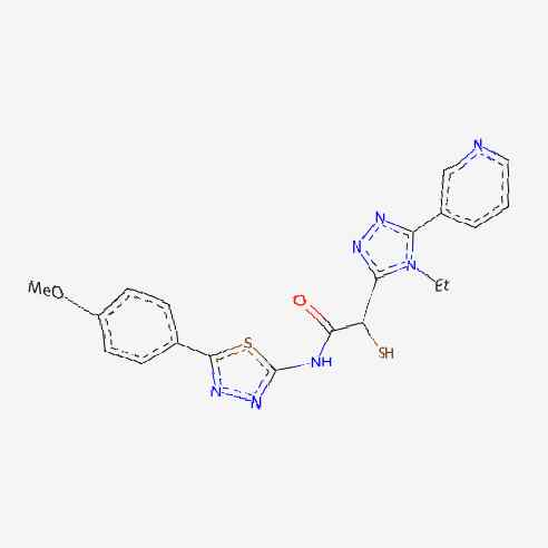 CCn1c(-c2cccnc2)nnc1C(S)C(=O)Nc1nnc(-c2ccc(OC)cc2)s1